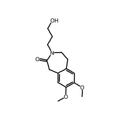 COc1cc2c(cc1OC)CC(=O)N(CCCO)CC2